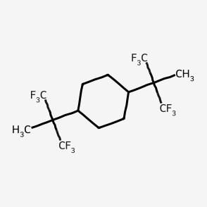 CC(C1CCC(C(C)(C(F)(F)F)C(F)(F)F)CC1)(C(F)(F)F)C(F)(F)F